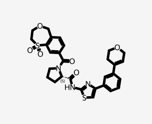 O=C(Nc1nc(-c2cccc(C3=CCOCC3)c2)cs1)[C@@H]1CCCN1C(=O)c1ccc2c(c1)S(=O)(=O)CCOC2